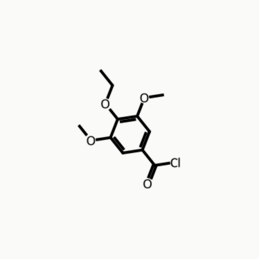 CCOc1c(OC)cc(C(=O)Cl)cc1OC